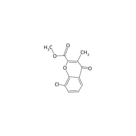 COC(=O)c1oc2c(Cl)cccc2c(=O)c1C